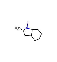 CC1CC2CCCCC2N1I